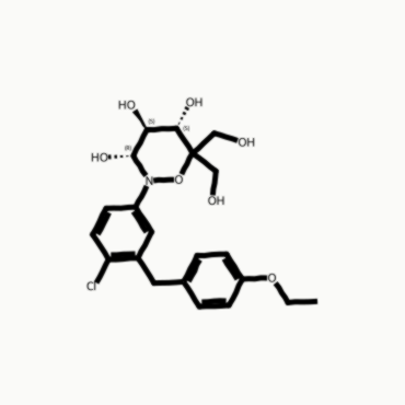 CCOc1ccc(Cc2cc(N3OC(CO)(CO)[C@@H](O)[C@H](O)[C@H]3O)ccc2Cl)cc1